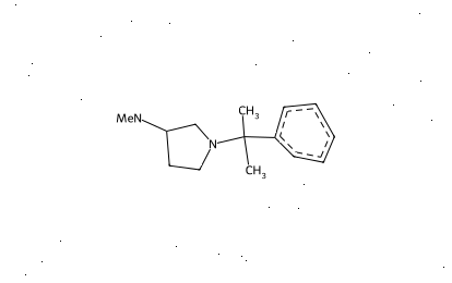 CNC1CCN(C(C)(C)c2ccccc2)C1